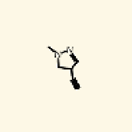 C#CC1C=NN(C)C1